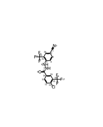 N#Cc1ccc(NNC(=O)c2ccc(Cl)c(C(F)(F)F)c2)c(C(F)(F)F)c1